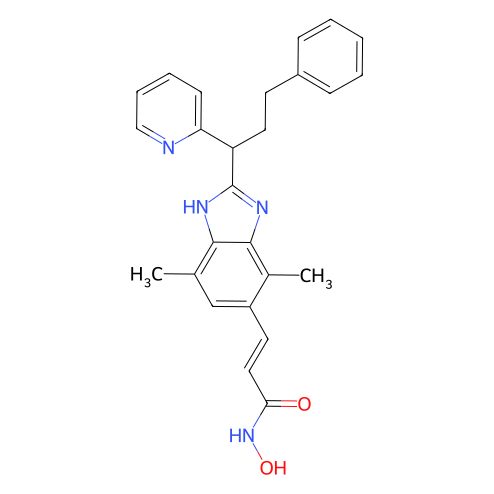 Cc1c(C=CC(=O)NO)cc(C)c2[nH]c(C(CCc3ccccc3)c3ccccn3)nc12